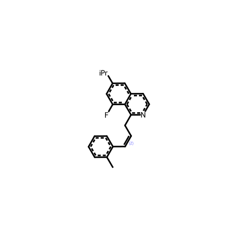 Cc1ccccc1/C=C\Cc1nccc2cc(C(C)C)cc(F)c12